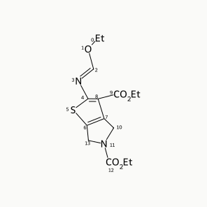 CCOC=Nc1sc2c(c1C(=O)OCC)CN(C(=O)OCC)C2